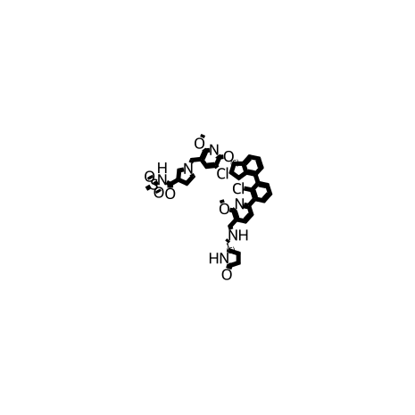 COc1nc(-c2cccc(-c3cccc4c3CC[C@@H]4Oc3nc(OC)c(CN4CCC(C(=O)NS(C)(=O)=O)C4)cc3Cl)c2Cl)ccc1CNC[C@@H]1CCC(=O)N1